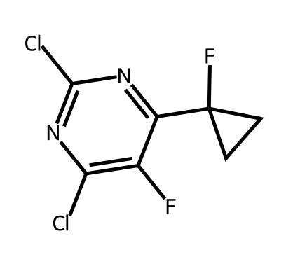 Fc1c(Cl)nc(Cl)nc1C1(F)CC1